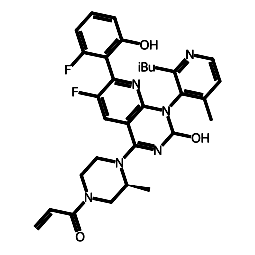 C=CC(=O)N1CCN(C2=NC(O)N(c3c(C)ccnc3C(C)CC)c3nc(-c4c(O)cccc4F)c(F)cc32)[C@@H](C)C1